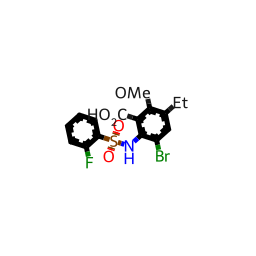 CCc1cc(Br)c(NS(=O)(=O)c2ccccc2F)c(C(=O)O)c1OC